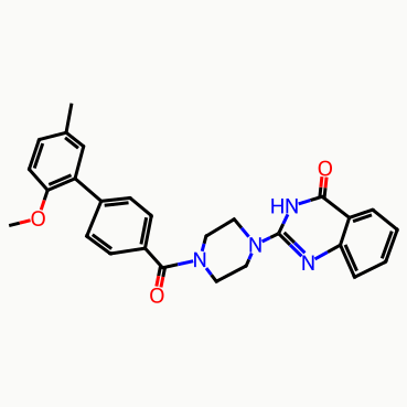 COc1ccc(C)cc1-c1ccc(C(=O)N2CCN(c3nc4ccccc4c(=O)[nH]3)CC2)cc1